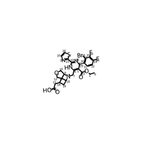 CCOC(=O)C1=C(CN2C3COCC34C(CC(=O)O)CC24)NC(c2nccs2)=N[C@H]1c1ccc(F)c(F)c1Br